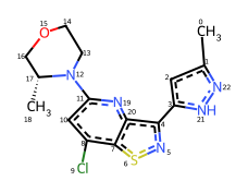 Cc1cc(-c2nsc3c(Cl)cc(N4CCOC[C@H]4C)nc23)[nH]n1